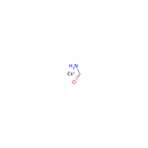 NC=O.[Cs+]